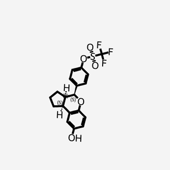 O=S(=O)(Oc1ccc([C@H]2Oc3ccc(O)cc3[C@H]3CCC[C@H]32)cc1)C(F)(F)F